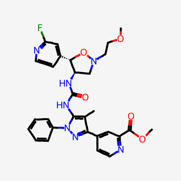 COCCN1C[C@@H](NC(=O)Nc2c(C)c(-c3ccnc(C(=O)OC)c3)nn2-c2ccccc2)[C@H](c2ccnc(F)c2)O1